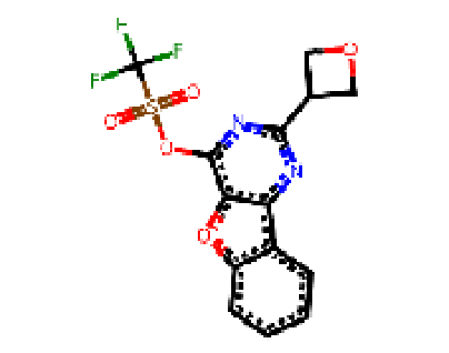 O=S(=O)(Oc1nc(C2COC2)nc2c1oc1ccccc12)C(F)(F)F